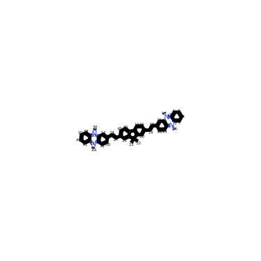 CN1c2ccccc2N(C)c2cc(/C=C/c3ccc4c(c3)C(C)(C)c3cc(/C=C/c5ccc6c(c5)N(C)c5ccccc5N6C)ccc3-4)ccc21